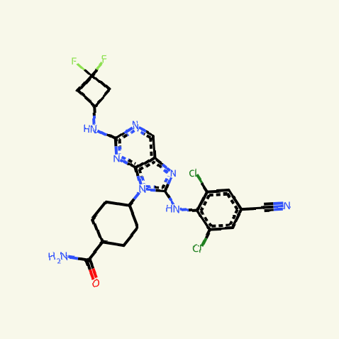 N#Cc1cc(Cl)c(Nc2nc3cnc(NC4CC(F)(F)C4)nc3n2C2CCC(C(N)=O)CC2)c(Cl)c1